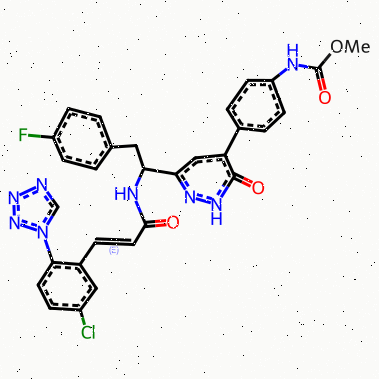 COC(=O)Nc1ccc(-c2cc(C(Cc3ccc(F)cc3)NC(=O)/C=C/c3cc(Cl)ccc3-n3cnnn3)n[nH]c2=O)cc1